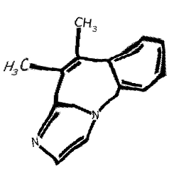 Cc1c(C)c2nccn2c2ccccc12